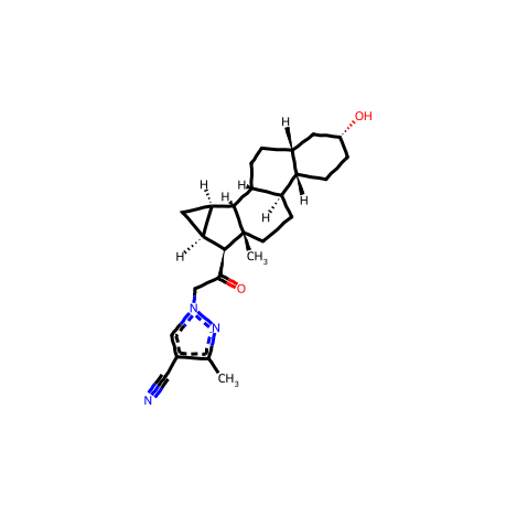 Cc1nn(CC(=O)[C@H]2[C@H]3C[C@H]3[C@H]3[C@@H]4CC[C@@H]5C[C@H](O)CC[C@@H]5[C@H]4CC[C@@]32C)cc1C#N